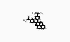 CC(C)c1ccc(-c2cc3ccc4cccc5ccc(c2-c2ccc(C(C)C)cc2)c3c45)cc1